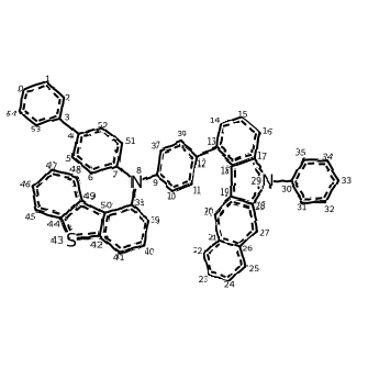 c1ccc(-c2ccc(N(c3ccc(-c4cccc5c4c4cc6ccccc6cc4n5-c4ccccc4)cc3)c3cccc4sc5ccccc5c34)cc2)cc1